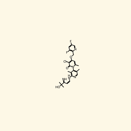 Cc1cnc(N/C=C\C(=N)C(C)(C)O)c(C)c1-n1c(C)cc(OCc2ncc(F)cc2F)c(Cl)c1=O